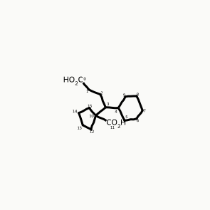 O=C(O)CCC(C1CCCCC1)C1(C(=O)O)CCCC1